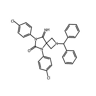 N=C1N(c2ccc(Cl)cc2)C(=O)N(c2ccc(Cl)cc2)C12CN(C(c1ccccc1)c1ccccc1)C2